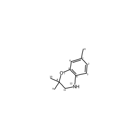 Cc1ccc2c(c1)OC(C)(C)CN2